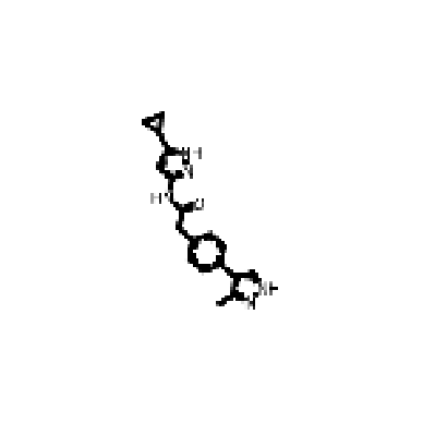 Cc1n[nH]cc1-c1ccc(CC(=O)Nc2cc(C3CC3)[nH]n2)cc1